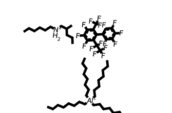 CCCCCCC[CH2][Al-]([CH2]CCCCCCC)([CH2]CCCCCCC)[CH2]CCCCCCC.CCCCCC[NH2+]CC(C)CCC.Fc1c(F)c(F)c(-c2c(C(F)(F)F)c(F)c(F)c(F)c2C(F)(F)C(F)(F)F)c(F)c1F